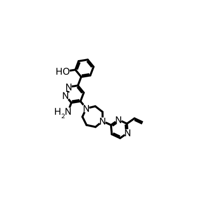 C=Cc1nccc(N2CCCN(c3cc(-c4ccccc4O)nnc3N)CC2)n1